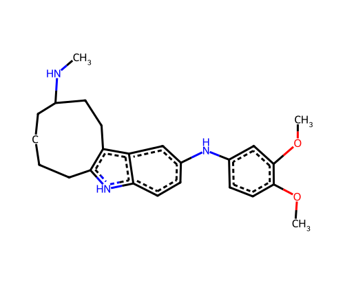 CNC1CCCCc2[nH]c3ccc(Nc4ccc(OC)c(OC)c4)cc3c2CC1